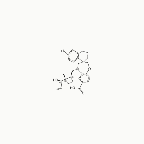 C=C[C@@H](O)[C@@]1(C)CC[C@@H]1CN1CC2(CCCc3cc(Cl)ccc32)COc2ccc(C(=O)O)cc21